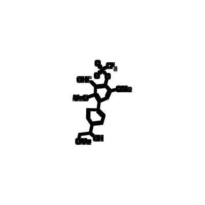 COCC(O)c1ccc(-c2cc(OC)c(OS(=O)(=O)C(F)(F)F)c(C=O)c2OC)cc1